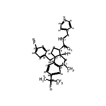 CN1C[C@H]2[C@H](C(=O)NCc3ccncc3)CC[C@@]2(Cc2ccc(F)cc2)c2ccc(C(C)(F)C(F)(F)F)cc21